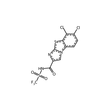 O=C(NS(=O)(=O)C(F)(F)F)c1cn2c(n1)sc1c(Cl)c(Cl)ccc12